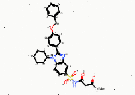 COC(=O)CC(=O)NS(=O)(=O)c1ccc2c(c1)nc(-c1ccc(OCc3ccccc3)cc1)n2C1CCCCC1